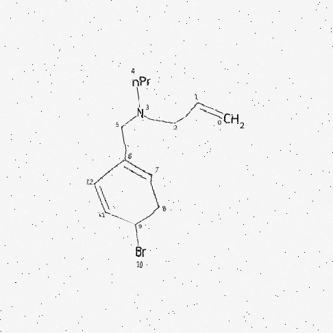 C=CCN(CCC)CC1=CCC(Br)C=C1